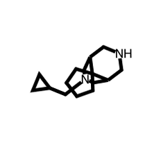 C1CCC2(C1)C1CNCC2CN(CC2CC2)C1